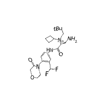 CC(C)(C)CN(C1CCC1)[C@@H](CN)C(=O)Nc1ccc(N2CCOCC2=O)c(C(F)F)c1